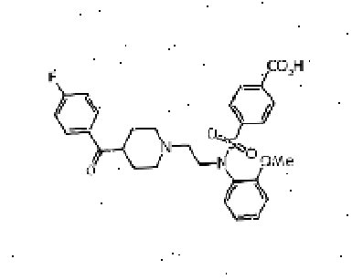 COc1ccccc1N(CCN1CCC(C(=O)c2ccc(F)cc2)CC1)S(=O)(=O)c1ccc(C(=O)O)cc1